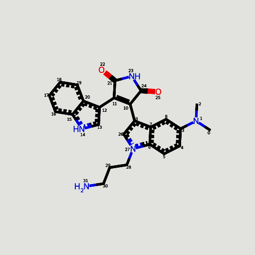 CN(C)c1ccc2c(c1)c(C1=C(c3c[nH]c4ccccc34)C(=O)NC1=O)cn2CCCN